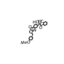 COc1ccc(C=C2CCn3c2nc2cc(NC(=O)c4ccccc4C(=O)O)ccc2c3=O)cc1